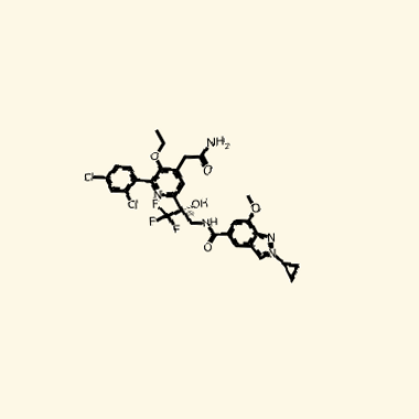 CCOc1c(CC(N)=O)cc([C@@](O)(CNC(=O)c2cc(OC)c3nn(C4CC4)cc3c2)C(F)(F)F)nc1-c1ccc(Cl)cc1Cl